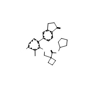 Cc1c(O)ccc(-c2ccc3c(c2)CCC3=O)c1OCC1(C(=O)OC2CCCC2)CCC1